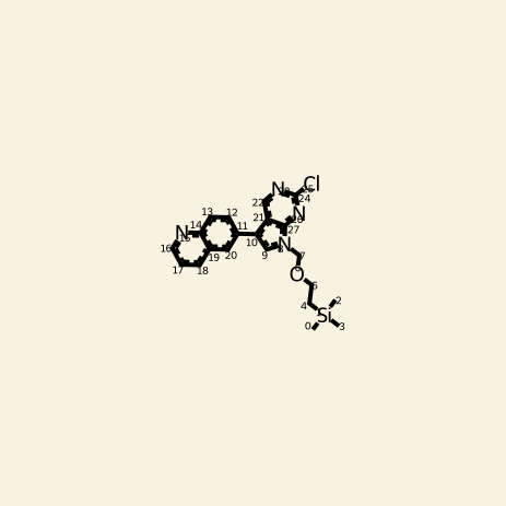 C[Si](C)(C)CCOCn1cc(-c2ccc3ncccc3c2)c2cnc(Cl)nc21